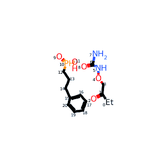 CCC(=O)CONC(N)=O.O=[PH](O)CCCc1ccccc1